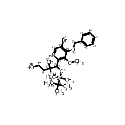 COc1c(C(O[Si](C)(C)C(C)(C)C)C(C)(C)CCO)ncc(Br)c1OCc1ccccc1